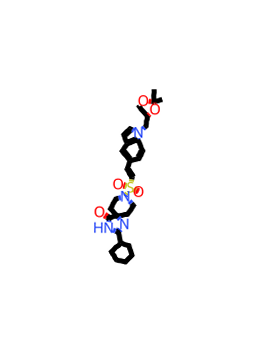 CC1(C)OCC(Cn2ccc3cc(C=CS(=O)(=O)N4CCC5(CC4)N=C(C4CCCCC4)NC5=O)ccc32)O1